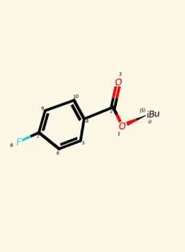 CC[C@H](C)OC(=O)c1ccc(F)cc1